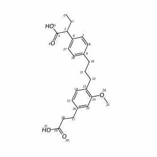 CCC(C(=O)O)c1ccc(CCCc2ccc(CCC(=O)O)cc2OC)cc1